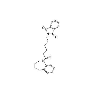 O=C1c2ccccc2C(=O)N1CCCCCC(=O)N1CCCCc2ccccc21